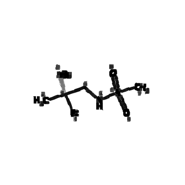 CCCC[C@@](C)(CC)CNS(C)(=O)=O